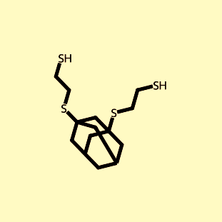 SCCSC12CC3CC(C1)CC(SCCS)(C3)C2